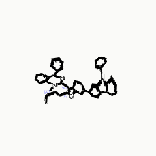 C\C=C/C=c1/oc2cc(-c3ccc4c5ccccc5n(-c5ccccc5)c4c3)ccc2/c1=C1\N=C(c2ccccc2)c2ccccc2N1C